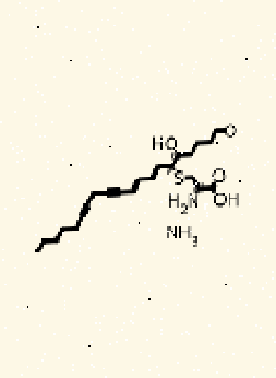 CCCCCC#CCC#CC=CC=C[C@@H](SC[C@H](N)C(=O)O)[C@@H](O)CCCC=O.N